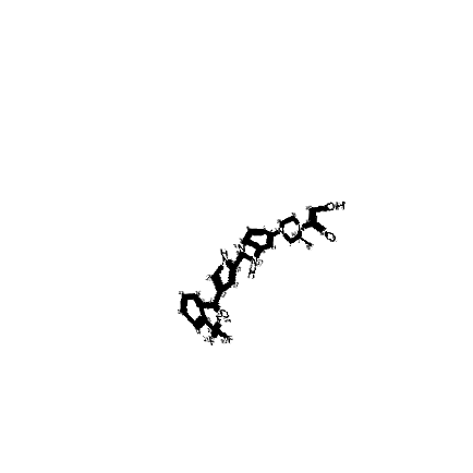 C[C@H]1CN(c2ccc3nc(-c4cc(C(=O)c5ccccc5C(F)(F)F)c[nH]4)[nH]c3c2)CCN1C(=O)CO